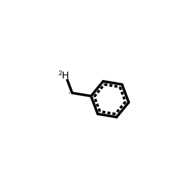 [2H][CH]c1ccccc1